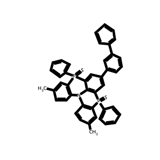 Cc1ccc2c(c1)P(=S)(c1ccccc1)c1cc(-c3cccc(-c4ccccc4)c3)cc3c1N2c1ccc(C)cc1P3(=S)c1ccccc1